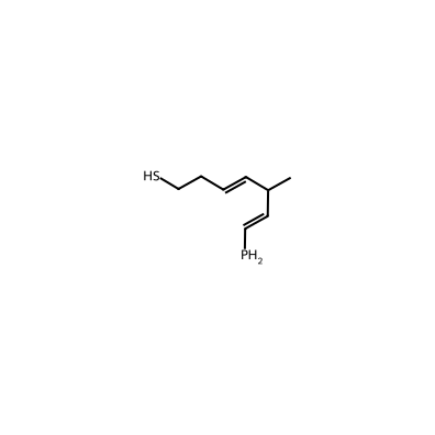 CC(C=CP)C=CCCS